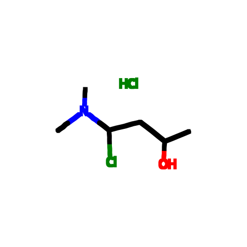 CC(O)CC(Cl)N(C)C.Cl